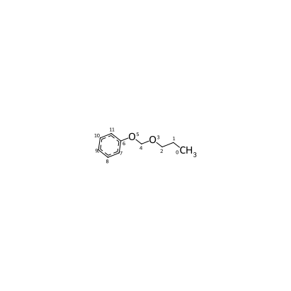 CCCOCOc1cc[c]cc1